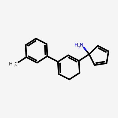 Cc1cccc(C2=CCCC(C3(N)C=CC=C3)=C2)c1